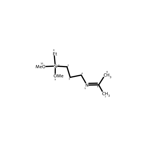 CC[Si](CCCN=C(C)C)(OC)OC